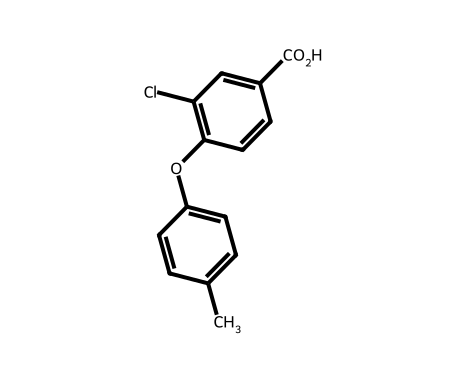 Cc1ccc(Oc2ccc(C(=O)O)cc2Cl)cc1